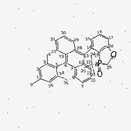 Cc1cc(C)c(-c2c3ccccc3c(-c3cccc4c3[P@@](=O)(C(C)(C)C)CO4)c3ccccc23)c(C)c1